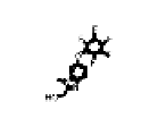 Cn1c(CO)nc2ccc(Oc3c(F)c(F)c(F)c(F)c3F)cc21